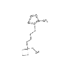 Cn1ccnc1SCCCC1(CO)CCC1